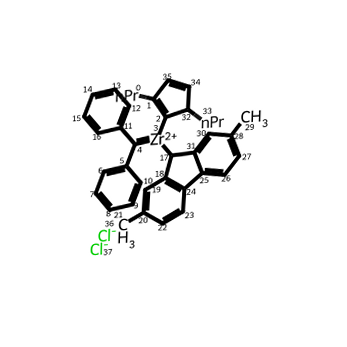 CCCC1=[C]([Zr+2](=[C](c2ccccc2)c2ccccc2)[CH]2c3cc(C)ccc3-c3ccc(C)cc32)C(CCC)C=C1.[Cl-].[Cl-]